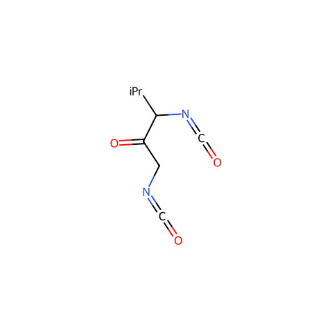 CC(C)C(N=C=O)C(=O)CN=C=O